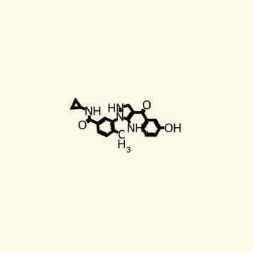 Cc1ccc(C(=O)NC2CC2)cc1N1NCC(C(=O)c2cccc(O)c2)=C1N